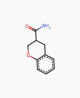 NC(=O)C1COc2ccccc2C1